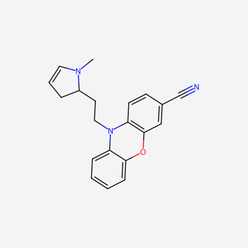 CN1C=CCC1CCN1c2ccccc2Oc2cc(C#N)ccc21